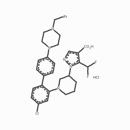 CC(C)CN1CCN(c2ccc(-c3ccc(Cl)cc3N3CCCC(n4ncc(C(=O)O)c4C(F)F)C3)cc2)CC1.Cl